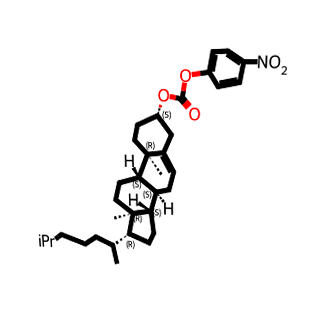 CC(C)CCCC(C)[C@H]1CC[C@H]2[C@@H]3CC=C4C[C@@H](OC(=O)Oc5ccc([N+](=O)[O-])cc5)CC[C@]4(C)[C@H]3CC[C@]12C